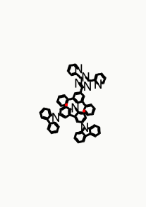 c1ccc(-c2cc(-c3nc(-c4ccccn4)nc(-c4ccccn4)n3)cc(-c3ccccc3)c2-n2c3ccc(-n4c5ccccc5c5ccccc54)cc3c3cc(-n4c5ccccc5c5ccccc54)ccc32)cc1